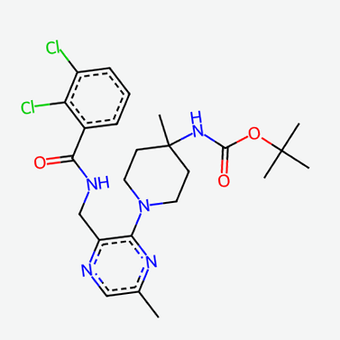 Cc1cnc(CNC(=O)c2cccc(Cl)c2Cl)c(N2CCC(C)(NC(=O)OC(C)(C)C)CC2)n1